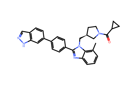 Cc1cccc2nc(-c3ccc(-c4ccc5cn[nH]c5c4)cc3)n(C[C@H]3CCN(C(=O)C4CC4)C3)c12